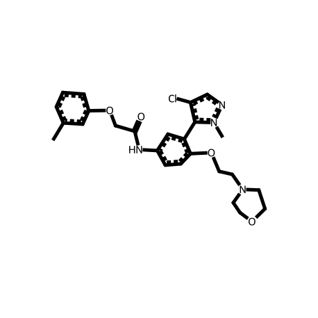 Cc1cccc(OCC(=O)Nc2ccc(OCCN3CCOCC3)c(-c3c(Cl)cnn3C)c2)c1